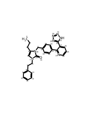 CCCc1cn(CCc2ccccc2)c(=O)n1Cc1ccc(-c2ncccc2-c2nnn[nH]2)cc1